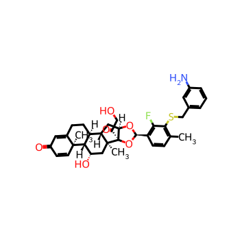 Cc1ccc([C@@H]2O[C@@H]3C[C@H]4[C@@H]5CCC6=CC(=O)C=C[C@]6(C)[C@H]5[C@@H](O)C[C@]4(C)[C@]3(C(=O)CO)O2)c(F)c1SCc1cccc(N)c1